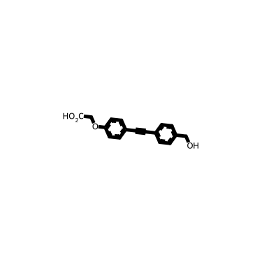 O=C(O)COc1ccc(C#Cc2ccc(CO)cc2)cc1